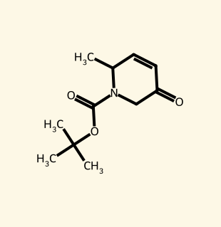 CC1C=CC(=O)CN1C(=O)OC(C)(C)C